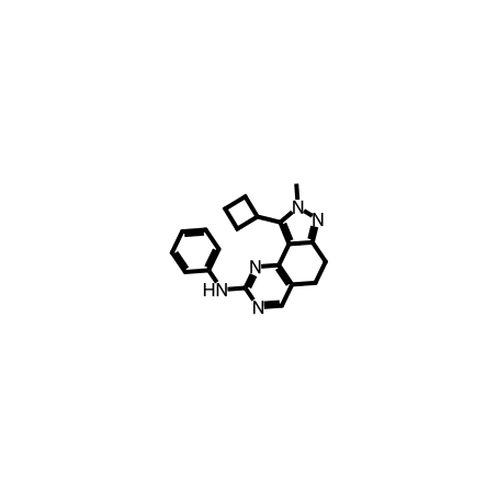 Cn1nc2c(c1C1CCC1)-c1nc(Nc3ccccc3)ncc1CC2